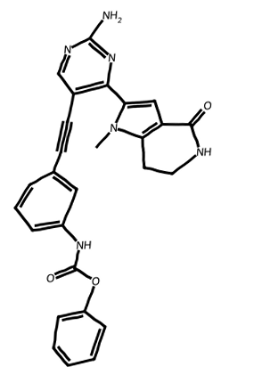 Cn1c(-c2nc(N)ncc2C#Cc2cccc(NC(=O)Oc3ccccc3)c2)cc2c1CCNC2=O